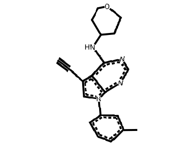 C#Cc1cn(-c2cccc(C)c2)c2ncnc(NC3CCOCC3)c12